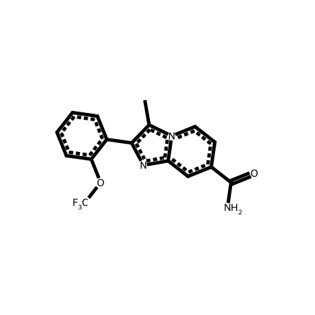 Cc1c(-c2ccccc2OC(F)(F)F)nc2cc(C(N)=O)ccn12